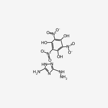 NNc1n[nH]c(N)n1.O=[N+]([O-])c1c(O)c([N+](=O)[O-])c(O)c([N+](=O)[O-])c1O